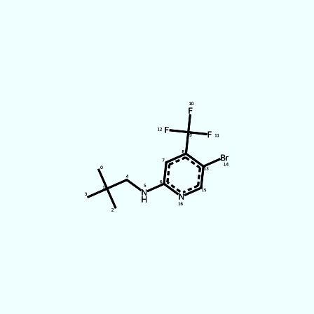 CC(C)(C)CNc1cc(C(F)(F)F)c(Br)cn1